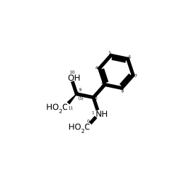 O=C(O)NC(c1ccccc1)[C@H](O)C(=O)O